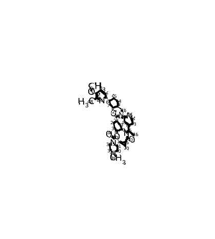 COc1ccc([C@H]2CC[C@H](CN(c3cc(-c4coc(C5CC5)n4)ccn3)C(=O)[C@H]3CC[C@H](OC(=O)N4CCN(C)CC4)CC3)CC2)nc1C